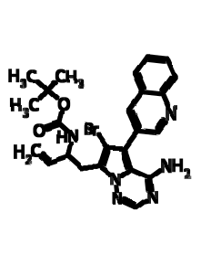 C=CC(Cc1c(Br)c(-c2cnc3ccccc3c2)c2c(N)ncnn12)NC(=O)OC(C)(C)C